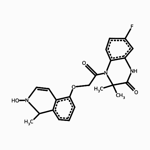 CC1c2cccc(OCC(=O)N3c4ccc(F)cc4NC(=O)C3(C)C)c2C=CN1O